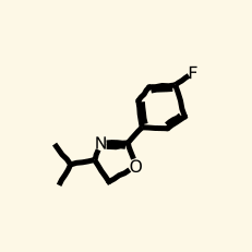 CC(C)C1COC(c2ccc(F)cc2)=N1